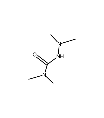 CN(C)NC(=O)N(C)C